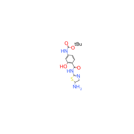 CC(C)(C)OC(=O)Nc1ccc(C(=O)NC2=NCC(N)S2)c(O)c1